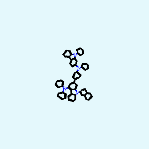 c1ccc(N(c2ccc(-c3cc(N(c4ccccc4)c4ccccc4)c4c5ccccc5n(-c5ccc6ccccc6c5)c4c3)cc2)c2ccc3c4ccccc4n(-c4ccccc4)c3c2)cc1